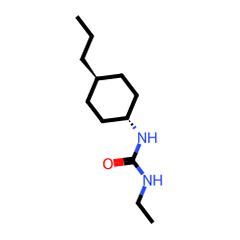 CCC[C@H]1CC[C@H](NC(=O)NCC)CC1